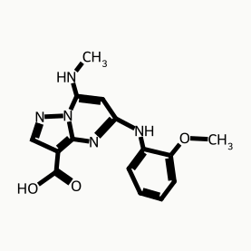 CNc1cc(Nc2ccccc2OC)nc2c(C(=O)O)cnn12